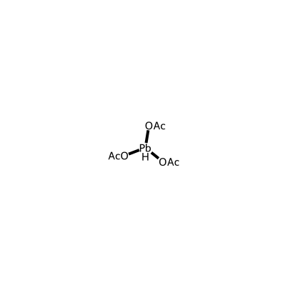 CC(=O)[O][PbH]([O]C(C)=O)[O]C(C)=O